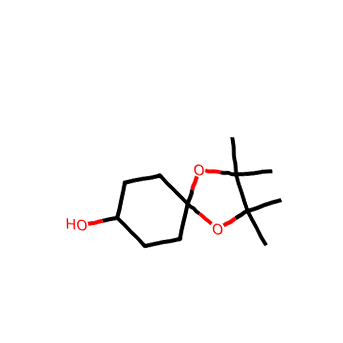 CC1(C)OC2(CCC(O)CC2)OC1(C)C